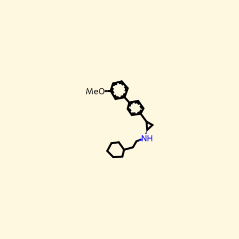 COc1cccc(-c2ccc(C3C[C@@H]3NCCC3CCCCC3)cc2)c1